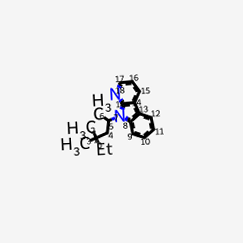 CCC(C)(C)CC(C)n1c2ccccc2c2cccnc21